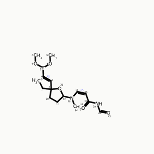 CCC1(/C=C/P(OC)OC)CCC(N(C)/C=C\C(=O)NC=O)O1